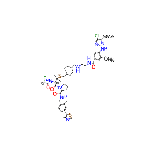 CNc1nc(Nc2ccc(C(=O)NCCNCC3CCC(CSC(C)(C)[C@H](NC(=O)C4(F)CC4)C(=O)N4CCCC4C(=O)NCc4ccc(-c5scnc5C)cc4C)CC3)cc2OC)ncc1Cl